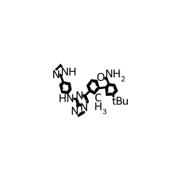 Cc1c(-c2cn3ccnc3c(Nc3ccc(C4=NCCN4)cc3)n2)cccc1-c1cc(C(C)(C)C)ccc1C(N)=O